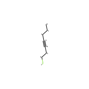 CCCC#CCCF